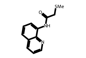 CSCC(=O)Nc1cccc2cccnc12